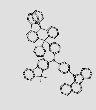 CC1(C)c2ccccc2-c2ccc(N(c3ccc(-n4c5ccccc5c5ccc6ccccc6c54)cc3)c3cccc(C4(c5ccccc5)c5ccccc5C5(c6ccccc6)c6ccccc6-c6cccc4c65)c3)cc21